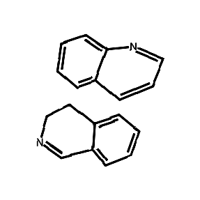 C1=NCCc2ccccc21.c1ccc2ncccc2c1